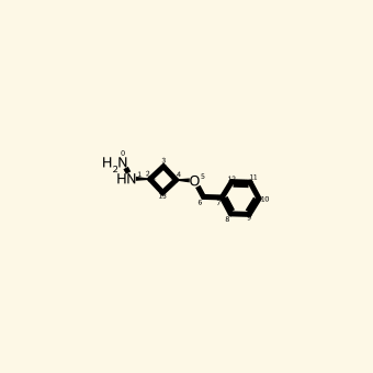 NN[C@H]1C[C@@H](OCc2ccccc2)C1